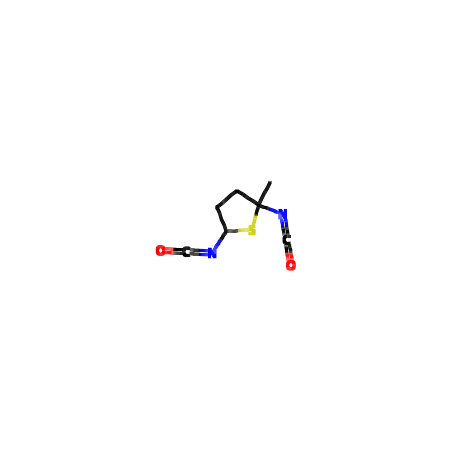 CC1(N=C=O)CCC(N=C=O)S1